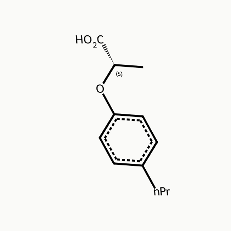 CCCc1ccc(O[C@@H](C)C(=O)O)cc1